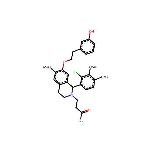 CCC(=O)CCN1CCc2cc(OC)c(OCCc3cccc(O)c3)cc2C1c1ccc(OC)c(OC)c1Cl